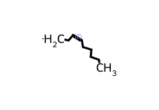 [CH2]C/C=C\CCCCC